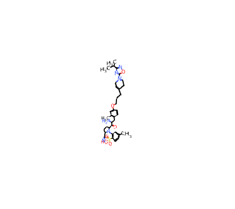 Cc1ccc(S(=O)(=O)O)c(N2C(C#N)CCC2C(=O)C(N)Cc2ccc(OCCCC3CCN(c4nc(C(C)C)no4)CC3)cc2C)c1